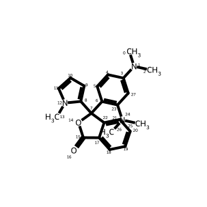 CN(C)c1ccc(C2(c3cccn3C)OC(=O)c3ccccc32)c(N(C)C)c1